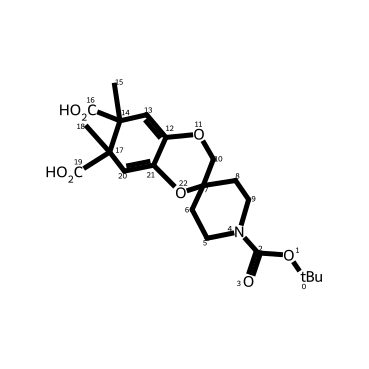 CC(C)(C)OC(=O)N1CCC2(CC1)COC1=CC(C)(C(=O)O)C(C)(C(=O)O)C=C1O2